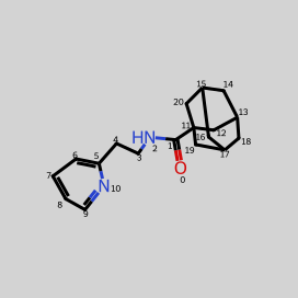 O=C(NCCc1ccccn1)C12CC3CC(CC(C3)C1)C2